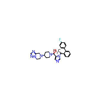 C[C@@H](c1ccccc1-c1ccc(F)cc1)n1cncc1C(=O)N1CCC(N2CCn3ncnc3C2)CC1